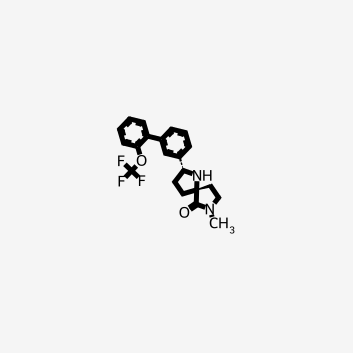 CN1CC[C@]2(CC[C@H](c3cccc(-c4ccccc4OC(F)(F)F)c3)N2)C1=O